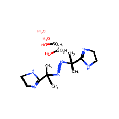 CC(C)(N=NC(C)(C)C1=NCCN1)C1=NCCN1.O.O.O=S(=O)(O)O.O=S(=O)(O)O